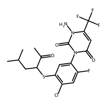 CC(=O)C(CC(C)C)Sc1cc(-n2c(=O)cc(C(F)(F)F)n(N)c2=O)c(F)cc1Cl